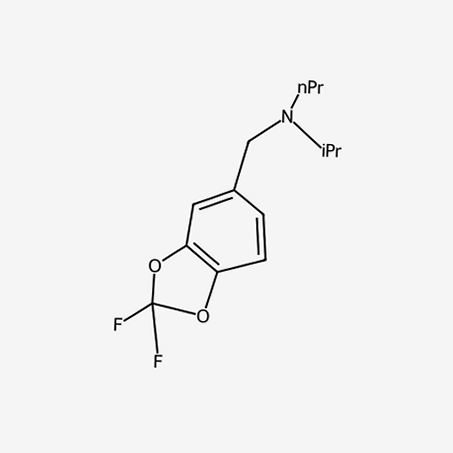 CCCN(Cc1ccc2c(c1)OC(F)(F)O2)C(C)C